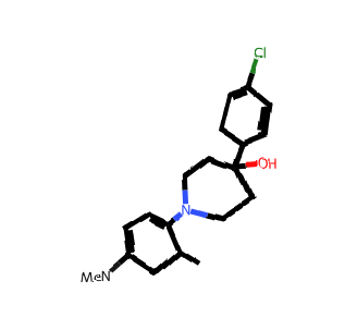 CNC1=CC=C(N2CCC(O)(C3C=CC(Cl)=CC3)CC2)C(C)C1